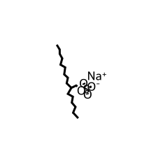 CCCCCCCCCC(CCCCCC)COS(=O)(=O)[O-].[Na+]